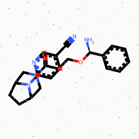 N#Cc1ccc(N2C3CCC2CN(C(=O)CCO[C@@H](N)c2ccccc2)C3)nc1